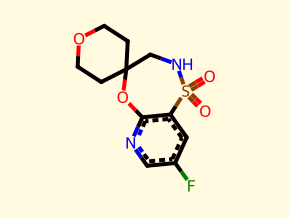 O=S1(=O)NCC2(CCOCC2)Oc2ncc(F)cc21